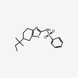 CCC(C)(C)C1CCc2nc(NS(=O)(=O)c3ccccc3)sc2C1